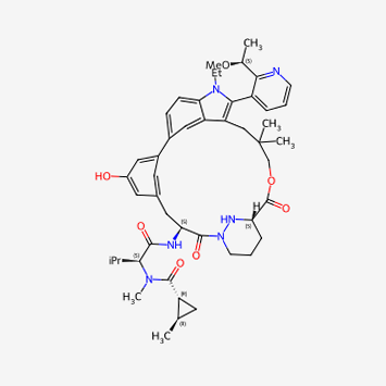 CCn1c(-c2cccnc2[C@H](C)OC)c2c3cc(ccc31)-c1cc(O)cc(c1)C[C@H](NC(=O)[C@H](C(C)C)N(C)C(=O)[C@@H]1C[C@H]1C)C(=O)N1CCC[C@H](N1)C(=O)OCC(C)(C)C2